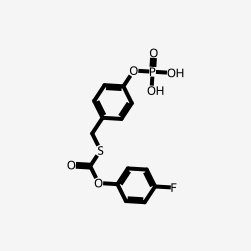 O=C(Oc1ccc(F)cc1)SCc1ccc(OP(=O)(O)O)cc1